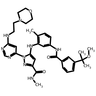 CNC(=O)c1cc(Nc2cc(NC(=O)c3cccc(C(C)(C)OC)c3)ccc2C)n(-c2cc(NCCN3CCOCC3)ncn2)n1